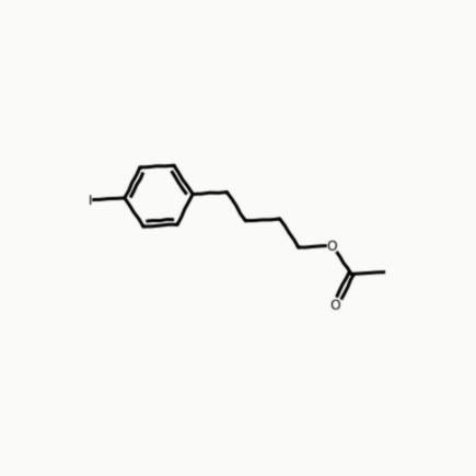 CC(=O)OCCCCc1ccc(I)cc1